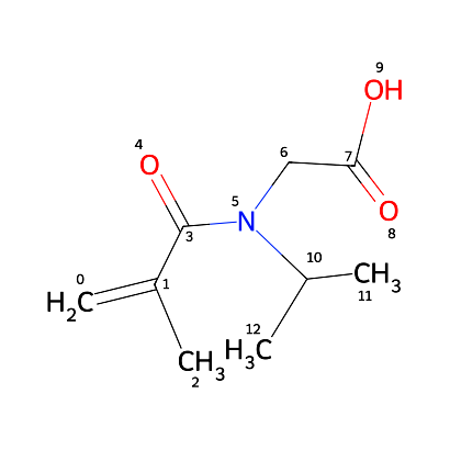 C=C(C)C(=O)N(CC(=O)O)C(C)C